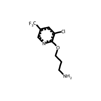 NCCCOc1ncc(C(F)(F)F)cc1Cl